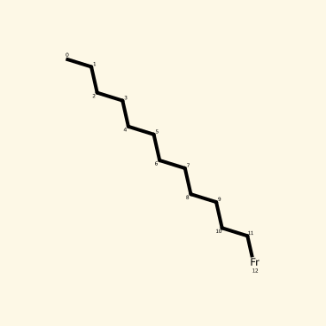 CCCCCCCCCCC[CH2][Fr]